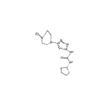 CCN1CCN(c2nnc(NC(=O)NC3CCCC3)s2)CC1